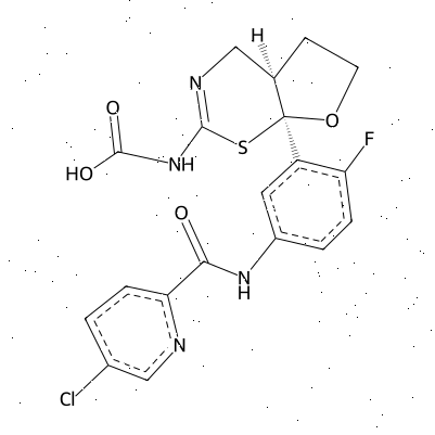 O=C(O)NC1=NC[C@H]2CCO[C@@]2(c2cc(NC(=O)c3ccc(Cl)cn3)ccc2F)S1